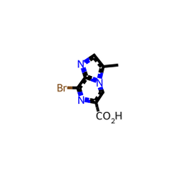 Cc1cnc2c(Br)nc(C(=O)O)cn12